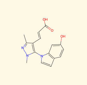 Cc1nn(C)c(-n2ccc3ccc(O)cc32)c1/C=C/C(=O)O